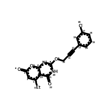 CCc1cc(=O)oc2nc(OCC#Cc3cccc(Cl)c3)[nH]c(=O)c12